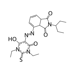 CCC(CC)N1C(=O)C2C=CC=C(N=Nc3c(O)n(CC)c(=S)n(CC)c3=O)C2C1=O